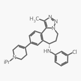 Cc1nnn2c1-c1ccc(C3=CCN(C(C)C)CC3)cc1[C@@H](Nc1cccc(Cl)c1)CC2